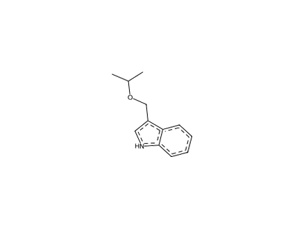 CC(C)OCc1c[nH]c2ccccc12